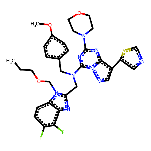 CCCOCn1c(CN(Cc2ccc(OC)cc2)c2nc(N3CCOCC3)nc3c(-c4cncs4)cnn23)nc2c(F)c(F)ccc21